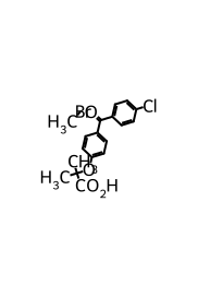 CBr.CC(C)(Oc1ccc(C(=O)c2ccc(Cl)cc2)cc1)C(=O)O